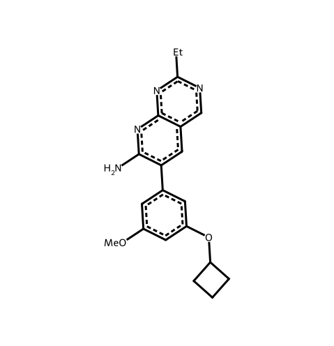 CCc1ncc2cc(-c3cc(OC)cc(OC4CCC4)c3)c(N)nc2n1